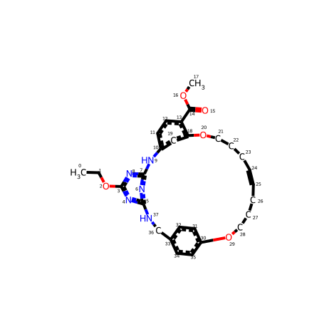 CCOc1nc2nc(n1)Nc1ccc(C(=O)OC)c(c1)OCCCC=CCCCOc1ccc(cc1)CN2